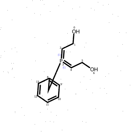 OC/C=P(=C\CO)/Cc1ccccc1